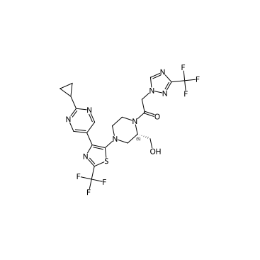 O=C(Cn1cnc(C(F)(F)F)n1)N1CCN(c2sc(C(F)(F)F)nc2-c2cnc(C3CC3)nc2)C[C@H]1CO